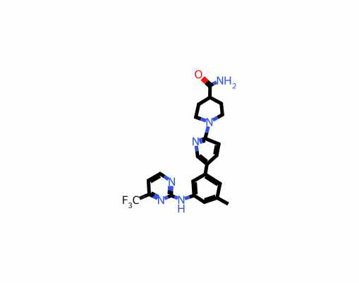 Cc1cc(Nc2nccc(C(F)(F)F)n2)cc(-c2ccc(N3CCC(C(N)=O)CC3)nc2)c1